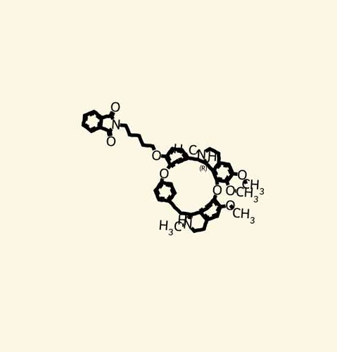 COc1cc2c3cc1Oc1c(OC)c(OC)cc4c1[C@@H](Cc1ccc(OCCCCCN5C(=O)c6ccccc6C5=O)c(c1)Oc1ccc(cc1)C[C@@H]3N(C)CC2)N(C)CC4